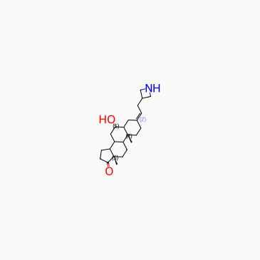 C[C@]12CC/C(=C/CC3CNC3)CC1[C@@H](O)CC1C2CC[C@]2(C)C(=O)CCC12